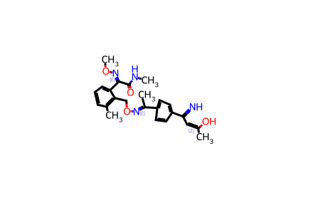 CNC(=O)/C(=N/OC)c1cccc(C)c1CO/N=C(\C)c1ccc(C(=N)/C=C(/C)O)cc1